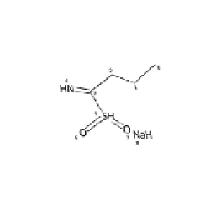 CCCC(=N)[SH](=O)=O.[NaH]